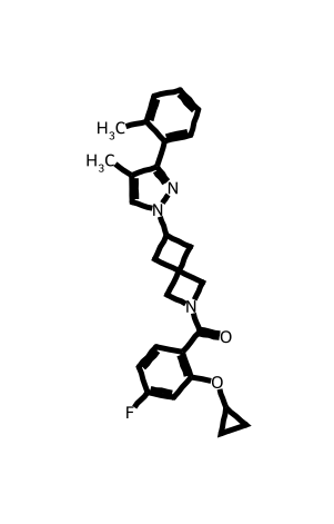 Cc1ccccc1-c1nn(C2CC3(C2)CN(C(=O)c2ccc(F)cc2OC2CC2)C3)cc1C